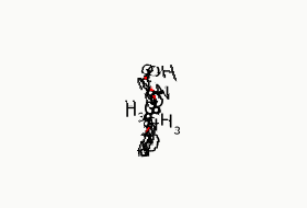 Cc1c(-c2nc3cc(CN4CC5(CC(C(=O)O)C5)C4)cc(C#N)c3o2)cccc1-c1cccc(-c2nc3c(s2)CN(C(=O)CN2CCCC2)C3)c1C